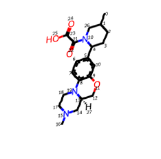 CC1CCC(c2ccc3c(c2)OC[C@H]2CN(C)CCN32)N(C(=O)C(=O)O)C1